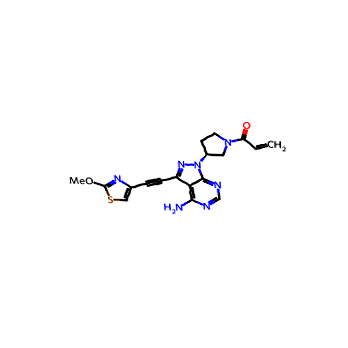 C=CC(=O)N1CC[C@H](n2nc(C#Cc3csc(OC)n3)c3c(N)ncnc32)C1